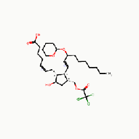 CCCCCCCC(/C=C/[C@H]1[C@H](COC(=O)C(Cl)(Cl)Cl)CC(O)[C@@H]1C/C=C\CCCC(=O)O)OC1CCCCO1